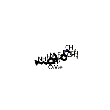 C#C/C(C)=C\C1=C(C)CC[C@H](O[C@H]2CC=N[C@H]3CC(CCCC4(N)CC4)=C(OC)C[C@H]32)C1F